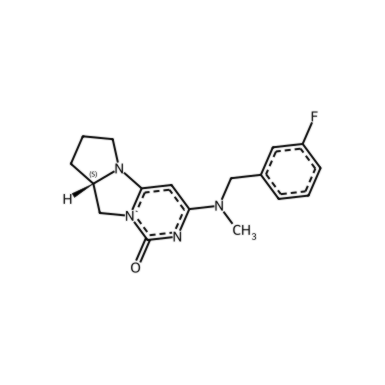 CN(Cc1cccc(F)c1)c1cc2n(c(=O)n1)C[C@@H]1CCCN21